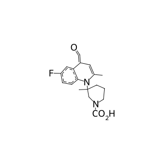 CC1=CC(=C=O)c2cc(F)ccc2N1C1(C)CCCN(C(=O)O)C1